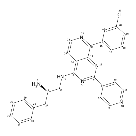 N[C@@H](CNc1nc(-c2ccncc2)nc2c(-c3cccc(Cl)c3)nccc12)Cc1ccccc1